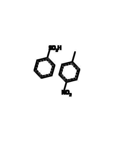 Cc1ccc([N+](=O)[O-])cc1.O=S(=O)(O)c1ccccc1